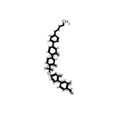 CCCCCc1ccc(-c2ccc(-c3ccc(C(F)(F)Oc4ccc(-c5ccc(C#N)c(F)c5)c(F)c4)c(F)c3)c(F)c2)cc1